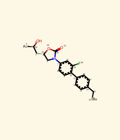 CC(=O)[C@@H](O)C[C@H]1CN(c2ccc(-c3ccc(CC(C)(C)C)cc3)c(F)c2)C(=O)O1